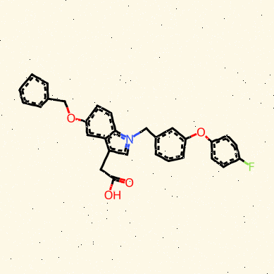 O=C(O)Cc1cn(Cc2cccc(Oc3ccc(F)cc3)c2)c2ccc(OCc3ccccc3)cc12